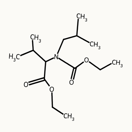 CCOC(=O)C(C(C)C)N(CC(C)C)C(=O)OCC